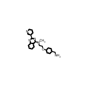 CN(CCOc1ccc(CN)cc1)c1nc(-c2cccnc2)nc2ccccc12